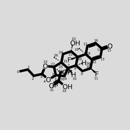 CCCC1O[C@@H]2C[C@H]3[C@@H]4C[C@H](F)C5=CC(=O)C=C[C@]5(C)[C@@]4(F)[C@@H](O)C[C@]3(C)[C@]2(C(O)C(=O)O)O1